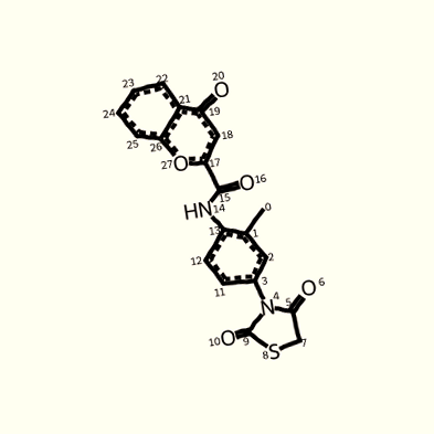 Cc1cc(N2C(=O)CSC2=O)ccc1NC(=O)c1cc(=O)c2ccccc2o1